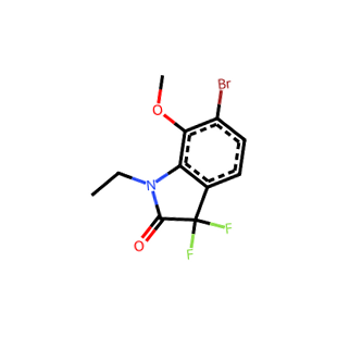 CCN1C(=O)C(F)(F)c2ccc(Br)c(OC)c21